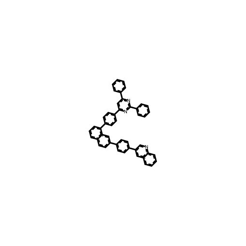 c1ccc(-c2cc(-c3ccc(-c4cccc5ccc(-c6ccc(-c7cnc8ccccc8c7)cc6)cc45)cc3)nc(-c3ccccc3)n2)cc1